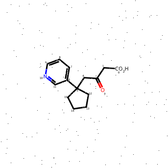 O=C(O)CC(=O)CC1(c2cccnc2)CCCC1